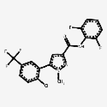 Cn1nc(C(=O)Nc2c(F)cccc2F)cc1-c1cc(C(F)(F)F)ccc1Cl